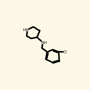 Clc1cccc(CNC2CCNCC2)c1